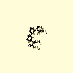 NC(=O)N(N)c1ccnc(-c2cc(N(N)C(N)=O)ccn2)c1